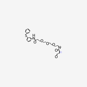 CN(CCOCCOCCOCCC(=O)Nc1cccc(Sc2ccccc2)c1)C(=O)/C=C\C=O